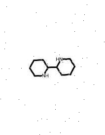 C1CCC(C2CCCCN2)NC1